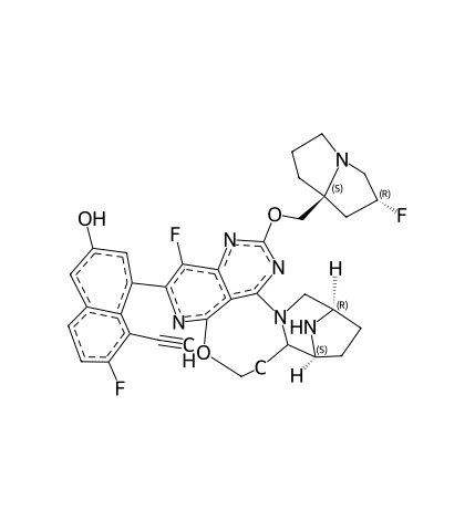 C#Cc1c(F)ccc2cc(O)cc(-c3nc4c5c(nc(OC[C@@]67CCCN6C[C@H](F)C7)nc5c3F)N3C[C@H]5CC[C@H](N5)C3CCO4)c12